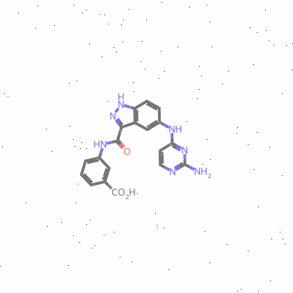 Nc1nccc(Nc2ccc3[nH]nc(C(=O)Nc4cccc(C(=O)O)c4)c3c2)n1